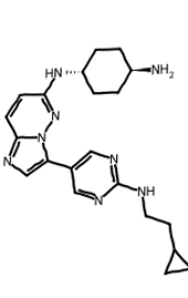 N[C@H]1CC[C@H](Nc2ccc3ncc(-c4cnc(NCCC5CC5)nc4)n3n2)CC1